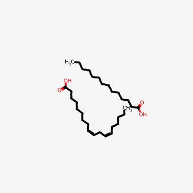 CCCCC/C=C\C/C=C\CCCCCCCC(=O)O.CCCCCCCCCCCCCC(=O)O